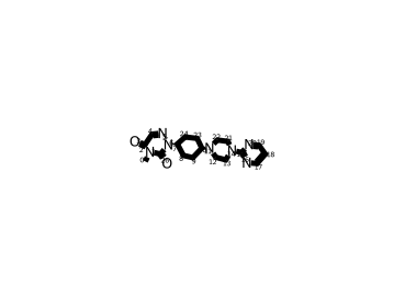 Cn1c(=O)cnn([C@H]2CC[C@H](N3CCN(c4ncccn4)CC3)CC2)c1=O